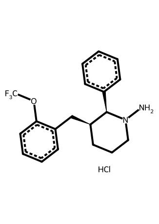 Cl.NN1CCC[C@@H](Cc2ccccc2OC(F)(F)F)[C@H]1c1ccccc1